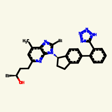 CCc1nc2c(C)cc(CC[C@@H](O)CC)nc2n1[C@H]1CCc2cc(-c3ccccc3-c3nnn[nH]3)ccc21